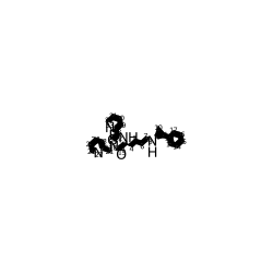 O=C(N[C@@H](CCCCNC1CC1c1ccccc1)C(=O)NCc1ccccn1)c1ccccn1